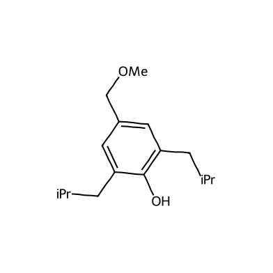 COCc1cc(CC(C)C)c(O)c(CC(C)C)c1